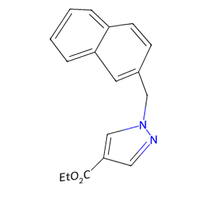 CCOC(=O)c1cnn(Cc2ccc3ccccc3c2)c1